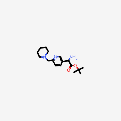 CC(C)(C)OC(=O)C(N)c1ccc(CN2CCCCC2)nc1